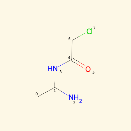 CC(N)NC(=O)CCl